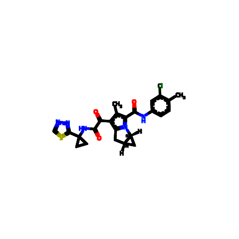 Cc1ccc(NC(=O)c2c(C)c(C(=O)C(=O)NC3(c4nncs4)CC3)c3n2[C@@H]2C[C@@H]2C3)cc1Cl